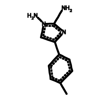 Cc1ccc(-c2cn(N)c(N)n2)cc1